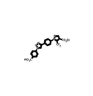 CCOC(=O)c1cnn(-c2ccc(-c3cn(-c4ccc(C(=O)O)cc4)nn3)cc2)c1C(F)(F)F